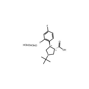 CC(C)(C)N1C[C@@H](C(=O)O)[C@H](c2ccc(F)cc2F)C1.Cl.Cl.Cl.Cl